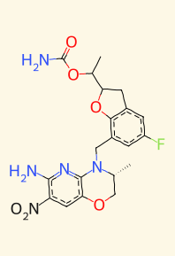 CC(OC(N)=O)C1Cc2cc(F)cc(CN3c4nc(N)c([N+](=O)[O-])cc4OC[C@H]3C)c2O1